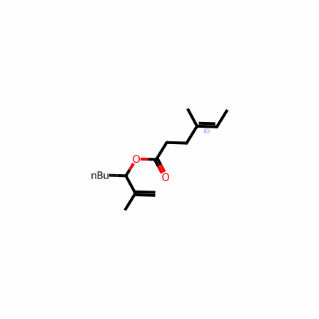 C=C(C)C(CCCC)OC(=O)CC/C(C)=C/C